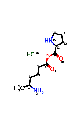 CC(N)CCCC(=O)OC(=O)[C@@H]1CCCN1.Cl